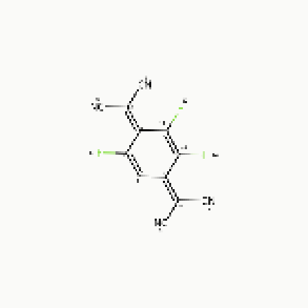 N#CC(C#N)=c1cc(F)c(=C(C#N)C#N)c(F)c1F